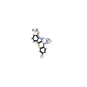 CNCc1ccc(Cl)cc1Sc1c[nH]c2c(OC)cccc12